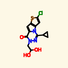 O=c1c2cc3sc(Cl)cc3n2c(C2CC2)nn1CC(O)O